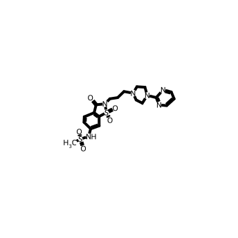 CS(=O)(=O)Nc1ccc2c(c1)S(=O)(=O)N(CCCN1CCN(c3ncccn3)CC1)C2=O